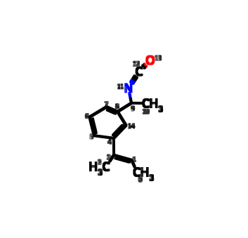 CC=C(C)c1cccc(C(C)N=C=O)c1